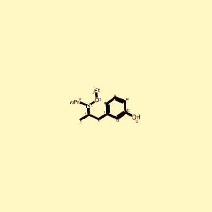 CCCN(OCC)C(C)Cc1cccc(O)c1